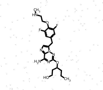 CCCC(CCO)Oc1nc(N)c2ncc(Cc3cc(F)c(OCCNC)c(F)c3)n2n1